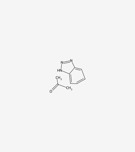 CC(C)=O.c1ccc2[nH]nnc2c1